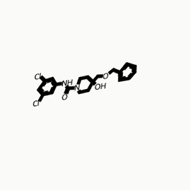 O=C(Nc1cc(Cl)cc(Cl)c1)N1CCC(O)(COCc2ccccc2)CC1